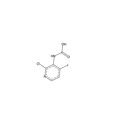 O=C(O)Nc1c(I)ccnc1Cl